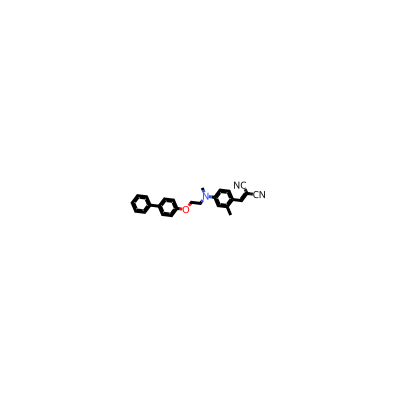 Cc1cc(N(C)CCOc2ccc(-c3ccccc3)cc2)ccc1C=C(C#N)C#N